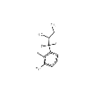 CCC(C)C(F)(F)c1cccc(C)c1F